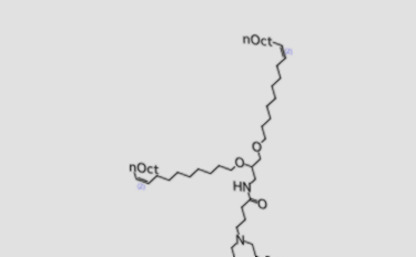 CCCCCCCC/C=C\CCCCCCCCOCC(CNC(=O)CCCN(CCO)CCO)OCCCCCCCC/C=C\CCCCCCCC